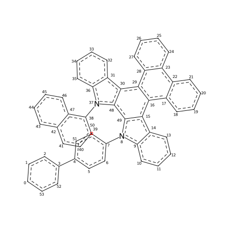 c1ccc(-c2ccc(-n3c4ccccc4c4c5c6ccccc6c6ccccc6c5c5c6ccccc6n(-c6cccc7ccccc67)c5c43)cc2)cc1